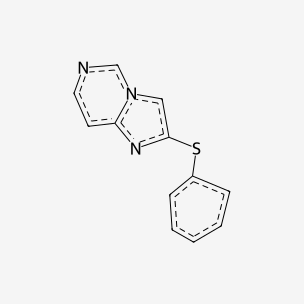 c1ccc(Sc2cn3cnccc3n2)cc1